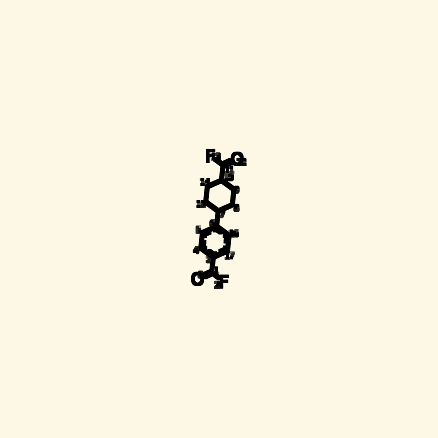 O=C(F)c1ccc(C2CCC(C(=O)F)CC2)cc1